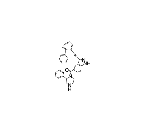 O=C(c1ccc2[nH]nc(C#Cc3ccccc3-c3ccccc3)c2c1)N1CCNCC1c1ccccc1